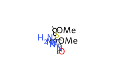 C=CC(=O)N1CC[C@@H](c2c(COC)c(-c3cc4cc(C)cc(OC)c4s3)c3c(N)ncnn23)C1